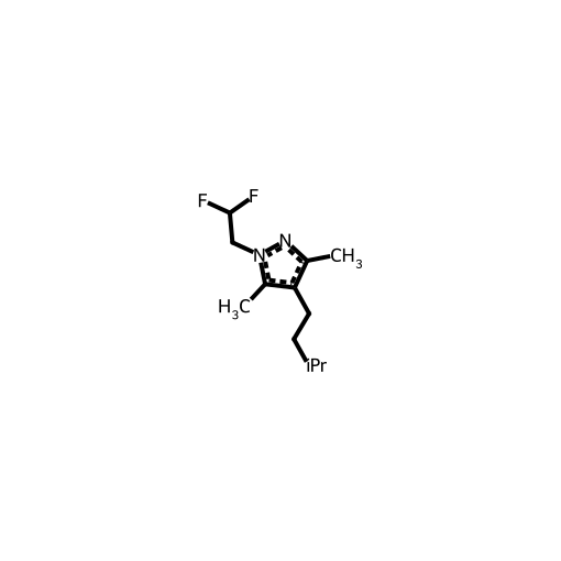 Cc1nn(CC(F)F)c(C)c1CCC(C)C